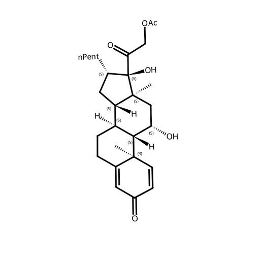 CCCCC[C@H]1C[C@H]2[C@@H]3CCC4=CC(=O)C=C[C@]4(C)[C@H]3[C@@H](O)C[C@]2(C)[C@@]1(O)C(=O)COC(C)=O